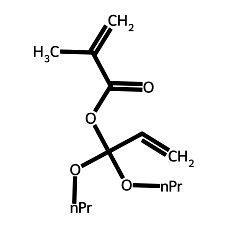 C=CC(OCCC)(OCCC)OC(=O)C(=C)C